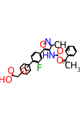 Cc1noc(-c2ccc(C34CCC(CC(=O)O)(CC3)OC4)c(F)c2)c1NC(=O)O[C@H](C)c1ccccc1